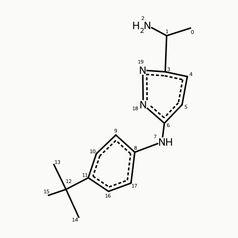 CC(N)c1ccc(Nc2ccc(C(C)(C)C)cc2)nn1